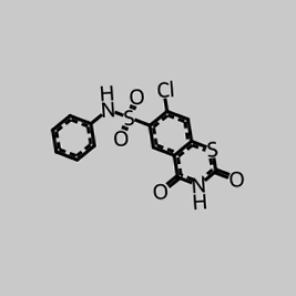 O=c1[nH]c(=O)c2cc(S(=O)(=O)Nc3ccccc3)c(Cl)cc2s1